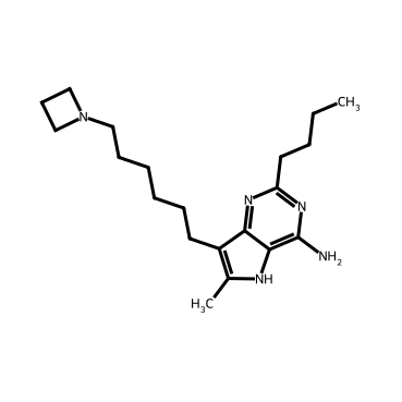 CCCCc1nc(N)c2[nH]c(C)c(CCCCCCN3CCC3)c2n1